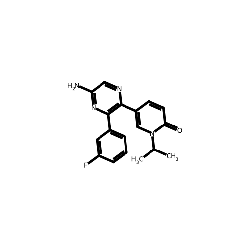 CC(C)n1cc(-c2ncc(N)nc2-c2cccc(F)c2)ccc1=O